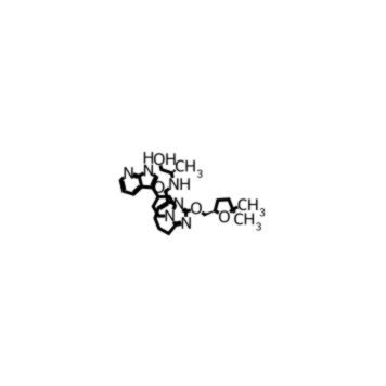 C[C@H](CO)NC(=O)C1=C/CCC/C(N2CCC(c3c[nH]c4ncccc34)CC2)=N/C(OC[C@H]2CCC(C)(C)O2)=N\1